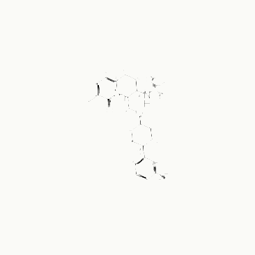 Cc1ccc2n(c1=O)C(COC1CCC(c3cccc(F)c3)CC1)C(NS(C)(=O)=O)CC2